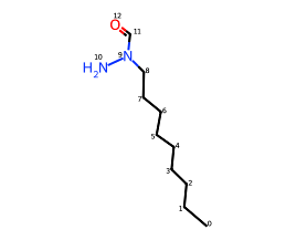 CCCCCCCCCN(N)C=O